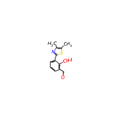 Cc1nc(-c2cccc(C=O)c2O)sc1C